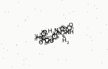 C=C(NC1CCOCC1)C1=C(/N=C(\N)N2CCC(Oc3ccc(C(=O)N(C4CCOCC4)C4CC4)cc3)CC2)CCO1